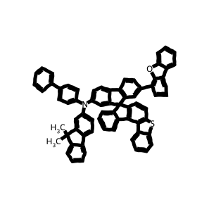 CC1(C)c2ccccc2-c2ccc(N(c3ccc(-c4ccccc4)cc3)c3ccc4c(c3)C3(c5cc(-c6cccc7c6oc6ccccc67)ccc5-4)c4ccccc4-c4c3ccc3sc5ccccc5c43)cc21